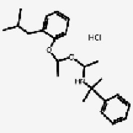 CC(C)Cc1ccccc1OC(C)OC(C)NC(C)(C)c1ccccc1.Cl